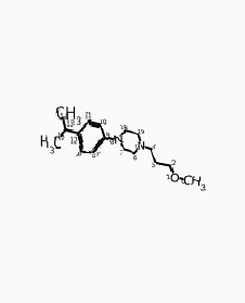 COCCCN1CCN(c2ccc(C(C)C)cc2)CC1